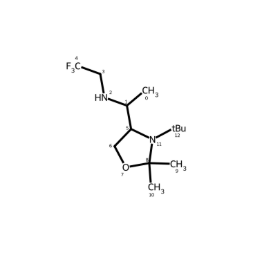 CC(NCC(F)(F)F)C1COC(C)(C)N1C(C)(C)C